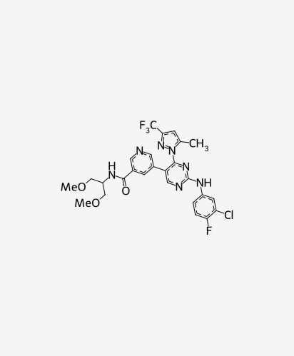 COCC(COC)NC(=O)c1cncc(-c2cnc(Nc3ccc(F)c(Cl)c3)nc2-n2nc(C(F)(F)F)cc2C)c1